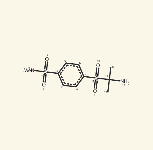 CNS(=O)(=O)c1ccc(S(=O)(=O)C(C)(C)N)cc1